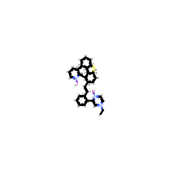 CC[n+]1cc[n+](I)c(-c2ccccc2/C=C/c2ccc3sc4cccc5c6ccc[n+](I)c6c2c3c45)c1